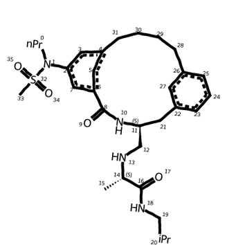 CCCN(c1cc2cc(c1)C(=O)N[C@H](CN[C@@H](C)C(=O)NCC(C)C)Cc1cccc(c1)CCCC2)S(C)(=O)=O